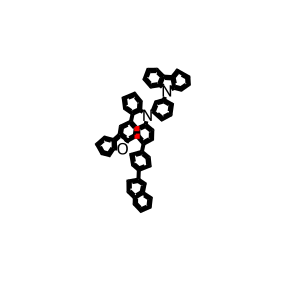 c1cc(N(c2ccc(-c3ccc(-c4ccc5ccccc5c4)cc3)cc2)c2ccccc2-c2ccc3oc4ccccc4c3c2)cc(-n2c3ccccc3c3ccccc32)c1